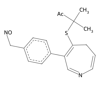 CC(=O)C(C)(C)SC1=C(c2ccc(CN=O)cc2)C=NC=CC1